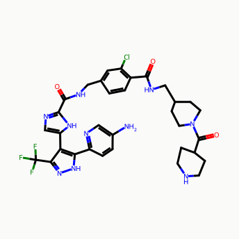 Nc1ccc(-c2[nH]nc(C(F)(F)F)c2-c2cnc(C(=O)NCc3ccc(C(=O)NCC4CCN(C(=O)C5CCNCC5)CC4)c(Cl)c3)[nH]2)nc1